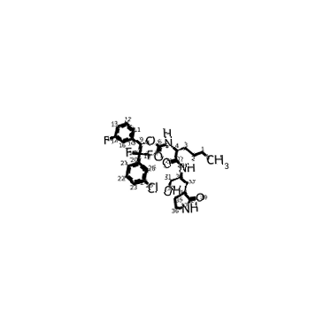 CCCC[C@H](NC(=O)O[C@@H](c1cccc(F)c1)C(F)(F)c1cccc(Cl)c1)C(=O)N[C@H](CO)C[C@@H]1CCNC1=O